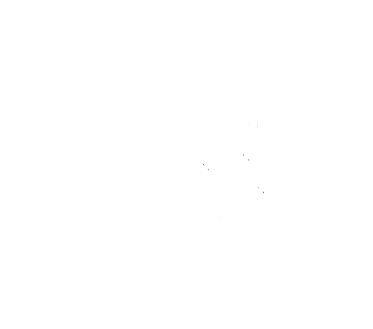 O=C(O)c1ncn2c(C(F)(F)F)cc(-c3ccc(C(F)(F)F)cc3)nc12